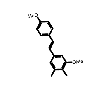 COc1ccc(C=Cc2cc(C)c(C)c(OC)c2)cc1